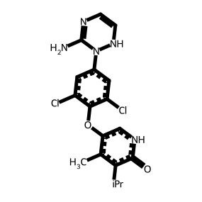 Cc1c(Oc2c(Cl)cc(N3NC=CN=C3N)cc2Cl)c[nH]c(=O)c1C(C)C